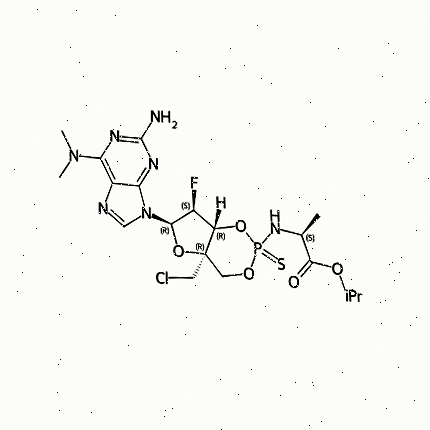 CC(C)OC(=O)[C@H](C)NP1(=S)OC[C@@]2(CCl)O[C@@H](n3cnc4c(N(C)C)nc(N)nc43)[C@@H](F)[C@@H]2O1